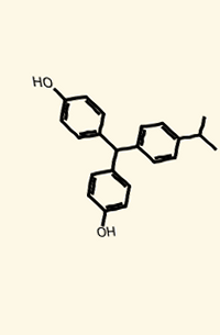 CC(C)c1ccc(C(c2ccc(O)cc2)c2ccc(O)cc2)cc1